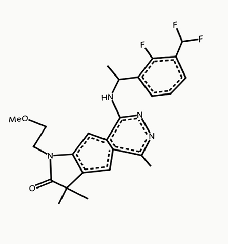 COCCN1C(=O)C(C)(C)c2cc3c(C)nnc(NC(C)c4cccc(C(F)F)c4F)c3cc21